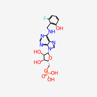 O=P(O)(O)OC[C@H]1O[C@@H](n2cnc3c(NCc4c(O)cccc4F)ncnc32)[C@H](O)[C@@H]1O